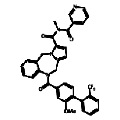 COc1cc(C(=O)N2Cc3ccc(C(=O)N(C)C(=O)c4cccnc4)n3Cc3ccccc32)ccc1-c1ccccc1C(F)(F)F